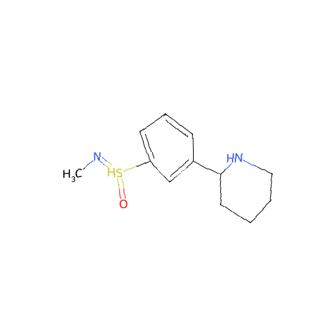 C/N=[SH](=O)/c1cccc(C2CCCCN2)c1